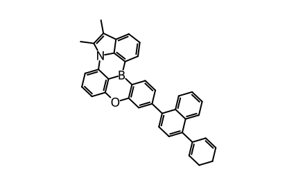 Cc1c(C)n2c3c(cccc13)B1c3ccc(-c4ccc(C5=CCCC=C5)c5ccccc45)cc3Oc3cccc-2c31